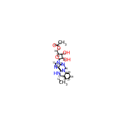 CC[C@H](Nc1ncnc2c1ncn2C1OC(COC(C)=O)C(O)C1O)c1ccccc1